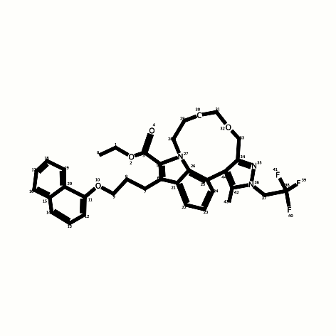 CCOC(=O)c1c(CCCOc2cccc3ccccc23)c2cccc3c2n1CCCCOCc1nn(CC(F)(F)F)c(C)c1-3